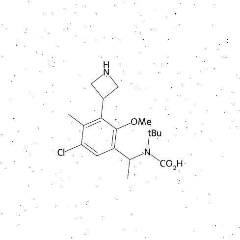 COc1c(C(C)N(C(=O)O)C(C)(C)C)cc(Cl)c(C)c1C1CNC1